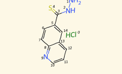 Cl.NNC(=S)c1ccc2ncccc2c1